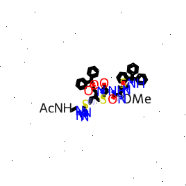 CO/N=C(/C(=O)NC1C(=O)N2C(C(=O)OC(c3ccccc3)c3ccccc3)=C(/C=C/Sc3nnnn3CCNC(C)=O)CSC12)c1csc(NC(c2ccccc2)(c2ccccc2)c2ccccc2)n1